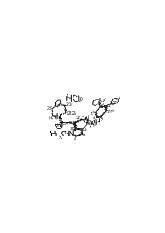 Cl.Cn1ccc2c(Nc3ccc(Cl)c(Cl)c3)ncc(C(=O)N3CCOCC3)c21